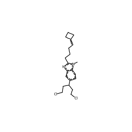 Cn1c(CCCC=C2CCC2)nc2cc(C(CCCl)CCCl)ccc21